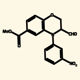 COC(=O)c1ccc2c(c1)N(c1cccc([N+](=O)[O-])c1)C(C=O)CO2